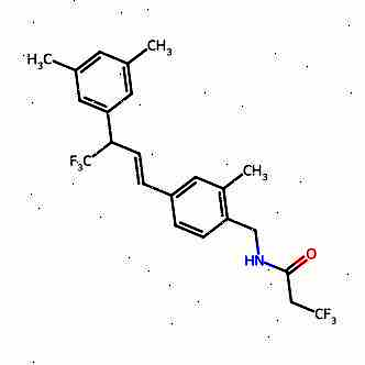 Cc1cc(C)cc(C(/C=C/c2ccc(CNC(=O)CC(F)(F)F)c(C)c2)C(F)(F)F)c1